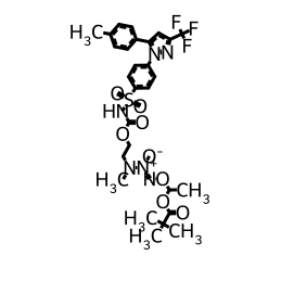 Cc1ccc(-c2cc(C(F)(F)F)nn2-c2ccc(S(=O)(=O)NC(=O)OCCN(C)/[N+]([O-])=N/OC(C)OC(=O)C(C)(C)C)cc2)cc1